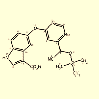 C[Si](C)(C)OC(C#N)c1cc(Oc2ccc3[nH]cc(C(=O)O)c3c2)ncn1